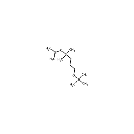 C[SiH](C)O[Si](C)(C)CCCO[Si](C)(C)C